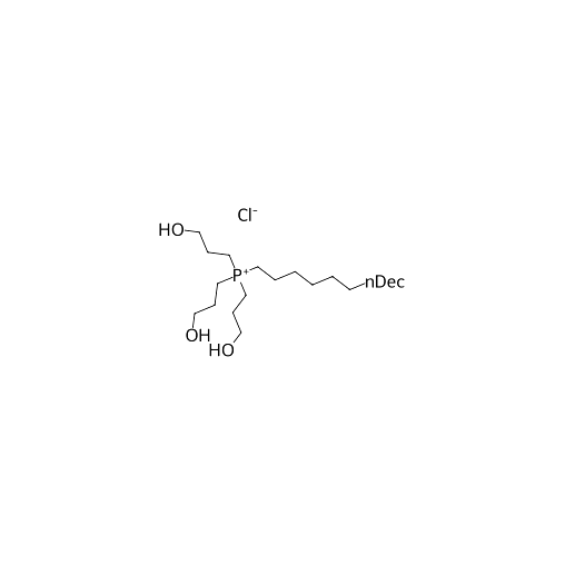 CCCCCCCCCCCCCCCC[P+](CCCO)(CCCO)CCCO.[Cl-]